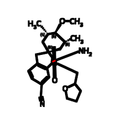 CO[C@H]1[C@H](C)C[C@@]2(Cc3ccc(C#N)cc3[C@]23N=C(N)N(CC2CCCO2)C3=O)C[C@@H]1C